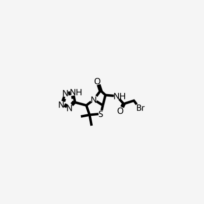 CC1(C)SC2C(NC(=O)CBr)C(=O)N2C1c1nnn[nH]1